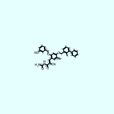 Cc1c(COc2cc(OCc3cccc(C#N)c3)c(/C=C(\C#N)C(=O)NC(N)=O)cc2Br)cccc1-c1ccccc1